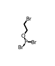 BrCCOP(Br)Br